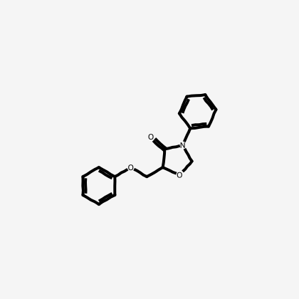 O=C1C(COc2ccccc2)OCN1c1ccccc1